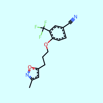 Cc1cc(CCCOc2ccc(C#N)cc2C(F)(F)F)on1